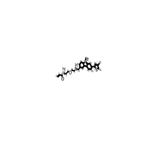 C=CC(=O)NCCOCCNCc1ccc2c(c1)c1ccc(-c3cc(C)cs3)cc1n2CC